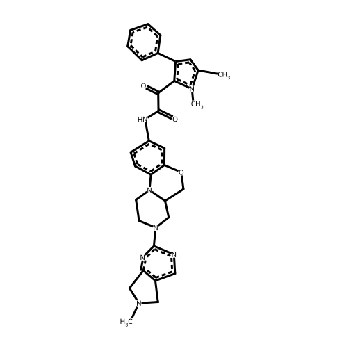 Cc1cc(-c2ccccc2)c(C(=O)C(=O)Nc2ccc3c(c2)OCC2CN(c4ncc5c(n4)CN(C)C5)CCN32)n1C